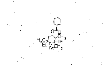 CCC1(C)CC(OC(=O)c2ccccc2)C(C)C(C)(CC)N1C(C)=O